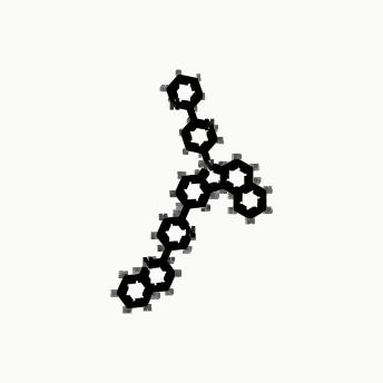 c1ccc(-c2ccc(-n3c4ccc(-c5ccc(-c6ccc7ccccc7n6)cn5)cc4c4c5ccccc5ccc43)cn2)nc1